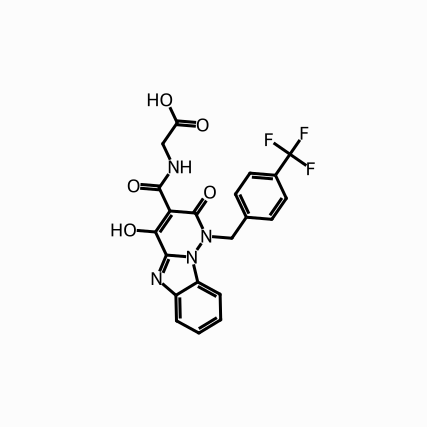 O=C(O)CNC(=O)c1c(O)c2nc3ccccc3n2n(Cc2ccc(C(F)(F)F)cc2)c1=O